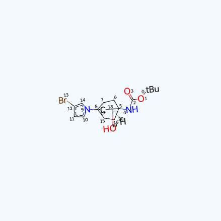 CC(C)(C)OC(=O)NC12CCC(n3ccc(Br)c3)(CC1)C[C@@H]2O